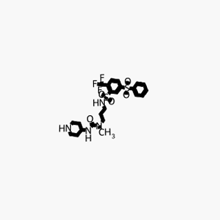 CN(CCCNS(=O)(=O)c1cc(S(=O)(=O)c2ccccc2)ccc1C(F)(F)F)C(=O)NC1CCNCC1